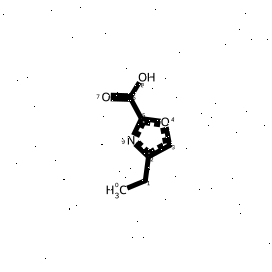 CCc1coc(C(=O)O)n1